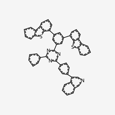 c1ccc(-c2nc(-c3ccc(-c4cncc5ccccc45)cc3)nc(-c3cc(-c4cccc5c4sc4ccccc45)cc(-c4cccc5c4sc4ccccc45)c3)n2)cc1